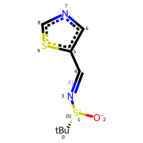 CC(C)(C)[S@@+]([O-])/N=C/c1cncs1